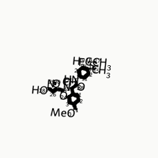 COCc1ccc([C@H](C(=O)Nc2ccc(S(C)(C)C)c(F)c2)N(C)C(=O)c2cc(O)no2)cc1